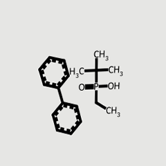 CCP(=O)(O)C(C)(C)C.c1ccc(-c2ccccc2)cc1